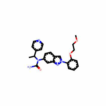 COCCOc1ccccc1-n1cc2ccc(N(C(N)=O)C(C)c3ccncc3)cc2n1